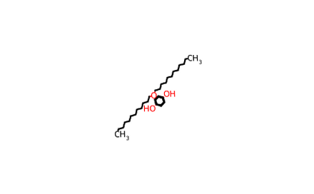 CCCCCCCCCCCCOCCCCCCCCCCCC.Oc1ccc(O)cc1